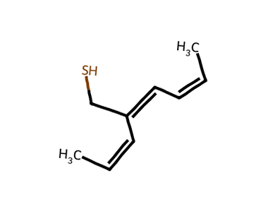 C\C=C/C=C(\C=C/C)CS